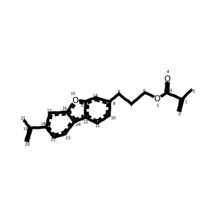 C=C(C)C(=O)OCCCc1ccc2c(c1)oc1cc(C(=C)C)ccc12